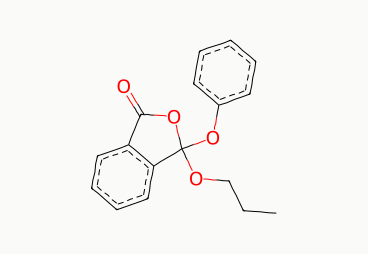 CCCOC1(Oc2ccccc2)OC(=O)c2ccccc21